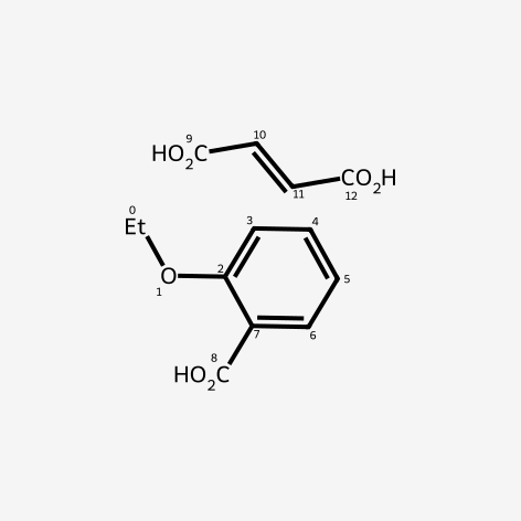 CCOc1ccccc1C(=O)O.O=C(O)/C=C/C(=O)O